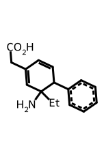 CCC1(N)C=C(CC(=O)O)C=CC1c1ccccc1